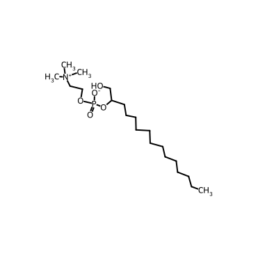 CCCCCCCCCCCCCC(CO)OP(=O)([O-])OCC[N+](C)(C)C